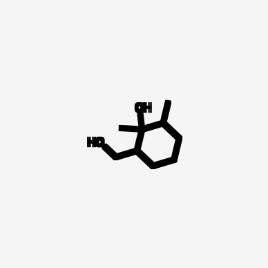 CC1CCCC(CO)C1(C)O